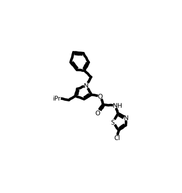 CC(C)Cc1cc(OC(=O)Nc2ncc(Cl)s2)n(Cc2ccccc2)c1